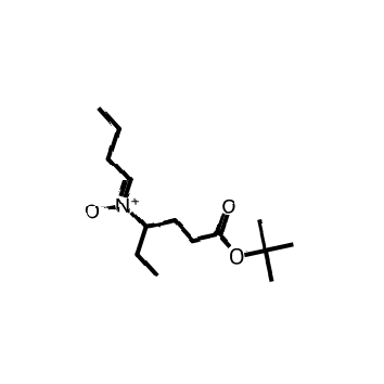 CCC/C=[N+](\[O-])C(CC)CCC(=O)OC(C)(C)C